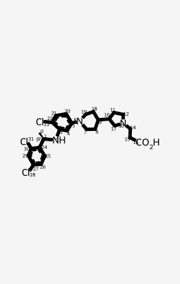 C[C@@H](Nc1cc(N2CCC(C3CCN(CCC(=O)O)C3)CC2)ccc1Cl)c1ccc(Cl)cc1Cl